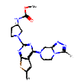 CCCc1cc2c(N3CCn4c(nnc4C(F)(F)F)C3)nc(N3CC[C@@H](NC(=O)OC(C)(C)C)C3)nc2s1